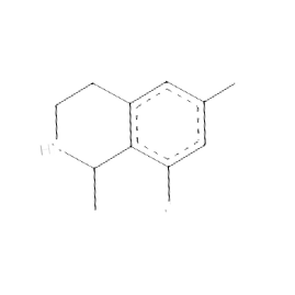 CC1NCCc2cc(F)cc(Cl)c21